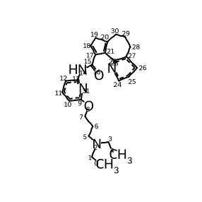 CCN(CC)CCCOc1cccc(NC(=O)C2=CCC3=C2c2ncccc2CCC3)n1